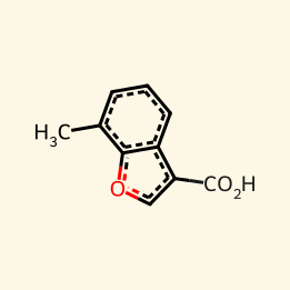 Cc1cccc2c(C(=O)O)coc12